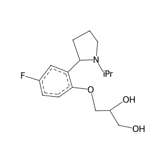 CC(C)N1CCCC1c1cc(F)ccc1OCC(O)CO